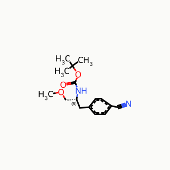 COC[C@@H](Cc1ccc(C#N)cc1)NC(=O)OC(C)(C)C